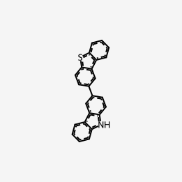 c1ccc2c(c1)[nH]c1ccc(-c3ccc4sc5ccccc5c4c3)cc12